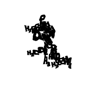 CCOC(CN(Cc1cccc2sc(NC(=O)OC(C)(C)C)nc12)C(=O)[C@H](Cc1ccc(OC(C)(C)C)cc1)NC(=O)C1(CNC(=O)NCc2ccccc2)CC1)OCC